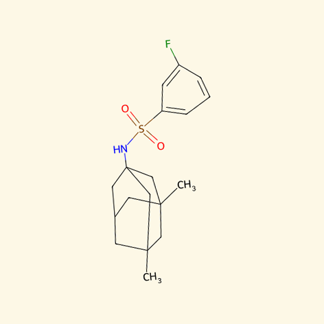 CC12CC3CC(C)(C1)CC(NS(=O)(=O)c1cccc(F)c1)(C3)C2